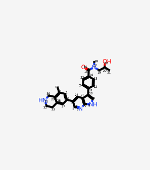 Cc1cc(-c2cnc3[nH]cc(-c4ccc(C(=O)N(C)CC(C)O)cc4)c3c2)cc2c1CNCC2